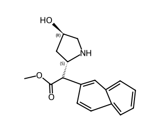 COC(=O)C(c1ccc2ccccc2c1)[C@@H]1C[C@@H](O)CN1